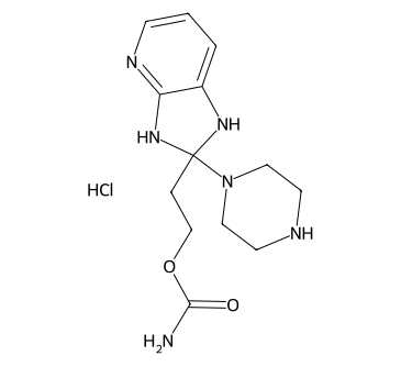 Cl.NC(=O)OCCC1(N2CCNCC2)Nc2cccnc2N1